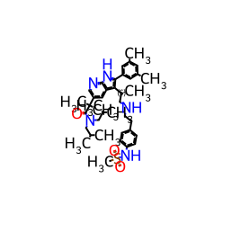 Cc1cc(C)cc(-c2[nH]c3ncc(C(C)(C)C(=O)N(CC(C)C)CC(C)C)cc3c2[C@H](C)CNCCc2ccc(NS(C)(=O)=O)cc2)c1